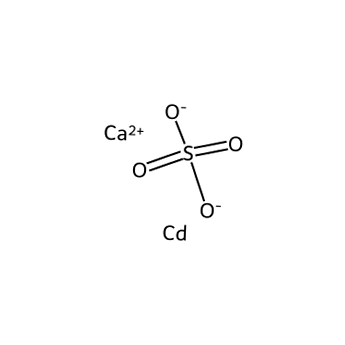 O=S(=O)([O-])[O-].[Ca+2].[Cd]